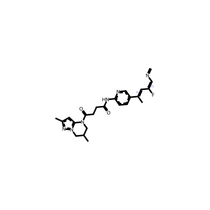 C=N/C=C(F)\C=C(/C)c1ccc(NC(=O)CCC(=O)N2CC(C)Cn3nc(C)cc32)nc1